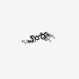 CNC/C=C(/Oc1ccc(CN2CCN(C)c3nc(SC)ncc3C2=O)cc1)c1cccs1